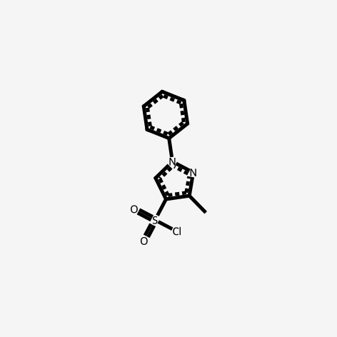 Cc1nn(-c2ccccc2)cc1S(=O)(=O)Cl